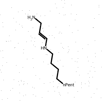 CCCCCCCCCNC=CCN